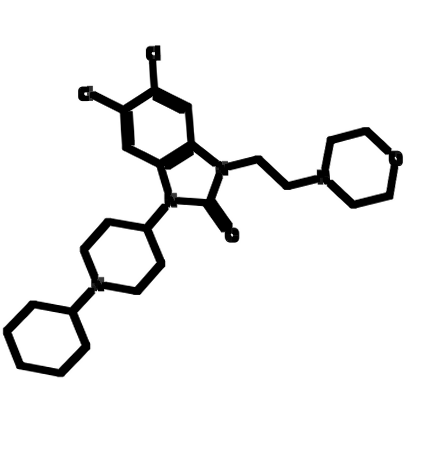 O=c1n(CCN2CCOCC2)c2cc(Cl)c(Cl)cc2n1C1CCN(C2CCCCC2)CC1